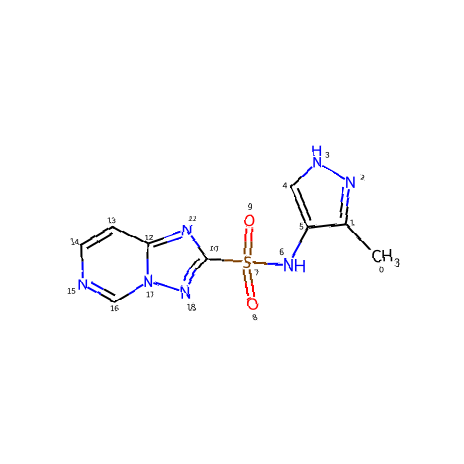 Cc1n[nH]cc1NS(=O)(=O)c1nc2ccncn2n1